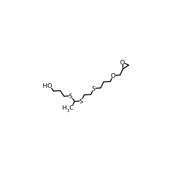 CC(SCCCO)SCCSCCCOCC1CO1